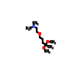 CO[Si](C)(CCCOCCN(C)C)OC